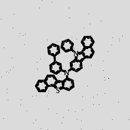 c1ccc(-c2cccc(N(c3ccc4c5ccc6ccccc6c5n(-c5ccccc5)c4c3)c3cccc4sc5c6ccccc6ccc5c34)c2)cc1